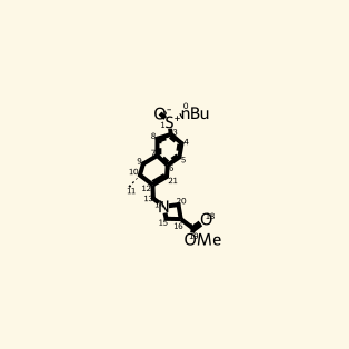 CCCC[S+]([O-])c1ccc2c(c1)C[C@@H](C)C(CN1CC(C(=O)OC)C1)=C2